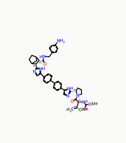 COC(=O)N[C@H](C(=O)N1CCC[C@H]1c1ncc(-c2ccc(-c3ccc(-c4cnc([C@H]5C6CCC(C6)[C@@H]5C(=O)NCc5ccc(N)cc5)[nH]4)cc3)cc2)[nH]1)[C@@H](C)OC